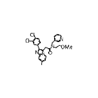 COCCN(Cc1cccnc1)C(=O)Cc1c(-c2ccc(Cl)c(Cl)c2)nc2cc(C)ccn12